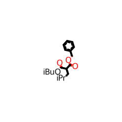 CC(C)COC(=O)C(CC(C)C)C(=O)OCc1ccccc1